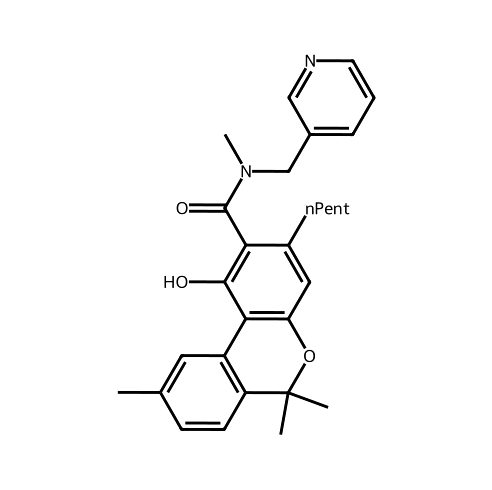 CCCCCc1cc2c(c(O)c1C(=O)N(C)Cc1cccnc1)-c1cc(C)ccc1C(C)(C)O2